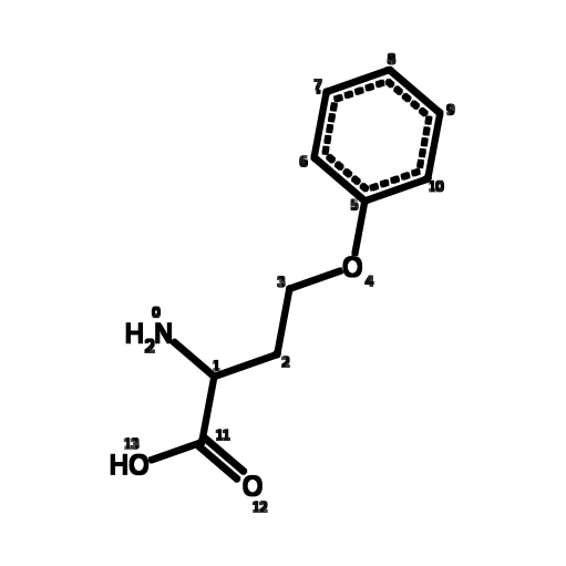 NC(CCOc1c[c]ccc1)C(=O)O